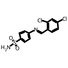 NS(=O)(=O)c1ccc(/N=C/c2ccc(Cl)cc2Cl)cc1